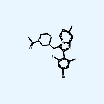 CC(=O)N1CCO[C@@H](Cc2c(-c3c(F)cc(Br)cc3I)nc3cc(C)ccn23)C1